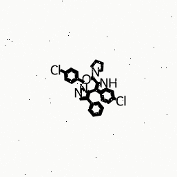 O=C(c1[nH]c2cc(Cl)ccc2c1-c1c(-c2ccccc2)cnn1Cc1ccc(Cl)cc1)N1CCCC1